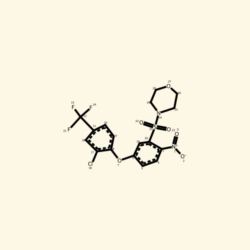 O=[N+]([O-])c1ccc(Oc2ccc(C(F)(F)F)cc2Cl)cc1S(=O)(=O)N1CCOCC1